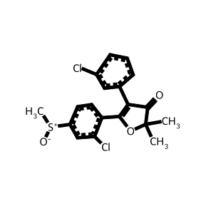 C[S+]([O-])c1ccc(C2=C(c3cccc(Cl)c3)C(=O)C(C)(C)O2)c(Cl)c1